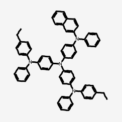 CCc1ccc(N(c2ccccc2)c2ccc(N(c3ccc(N(c4ccccc4)c4ccc(CC)cc4)cc3)c3ccc(N(c4ccccc4)c4ccc5ccccc5c4)cc3)cc2)cc1